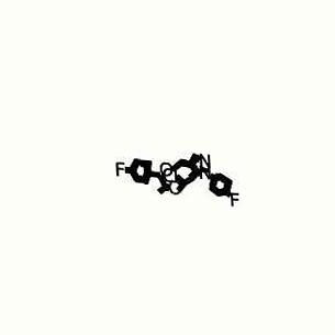 CC(=O)C(OC/C=c1/cnn(-c2ccc(F)cc2)/c1=C/C(C)Cl)c1ccc(F)cc1